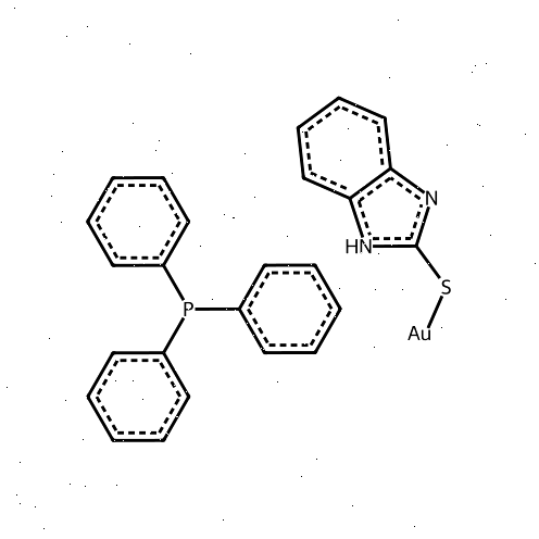 [Au][S]c1nc2ccccc2[nH]1.c1ccc(P(c2ccccc2)c2ccccc2)cc1